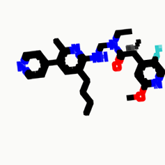 CCCCc1cc(-c2ccncc2)c(C)nc1NCN(CC)C(=O)[C@H](C)c1cc(OC)ncc1F